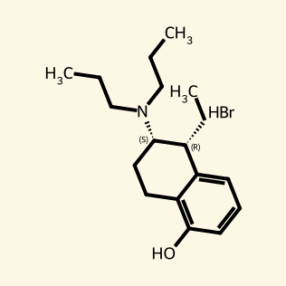 Br.CCCN(CCC)[C@H]1CCc2c(O)cccc2[C@H]1CC